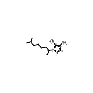 CC(CCCCN(C)C)n1ncc(N)c1N